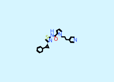 O=C(Nc1nc([C@@H]2CC2C2C=CC=CC2)cs1)c1cccn1CCCc1ccncc1